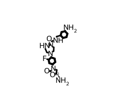 NC[C@H]1CN(c2ccc(N3CCNN(C(=O)NCc4cccc(N)c4)CC3)c(F)c2)C(=O)O1